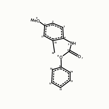 COc1ccc(NC(=O)Oc2ccccc2)c(C)c1